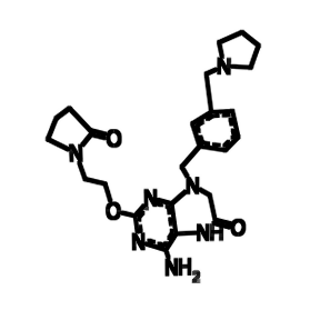 Nc1nc(OCCN2CCCC2=O)nc2c1NC(=O)CN2Cc1cccc(CN2CCCC2)c1